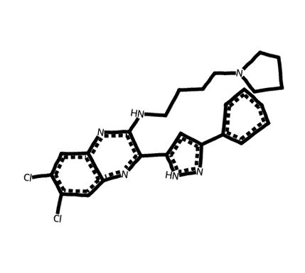 Clc1cc2nc(NCCCCN3CCCC3)c(-c3cc(-c4ccccc4)n[nH]3)nc2cc1Cl